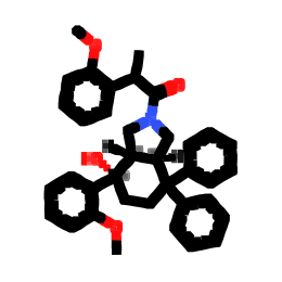 COc1ccccc1C(C)C(=O)N1C[C@@H]2[C@@H](C1)[C@](O)(c1ccccc1OC)CCC2(c1ccccc1)c1ccccc1